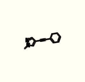 Cn1cc(C#CC2=CC=CCC2)cn1